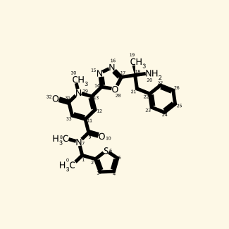 CC(c1cccs1)N(C)C(=O)c1cc(-c2nnc([C@](C)(N)Cc3ccccc3)o2)n(C)c(=O)c1